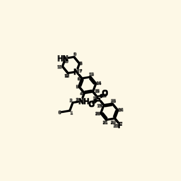 CCCNc1cc(N2CCNCC2)ccc1S(=O)(=O)c1ccc(F)cc1